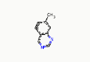 Cc1c#cc2cncnc2c1